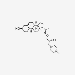 CC(=NOCC(O)CN1CCN(C)CC1)[C@H]1CC[C@H]2[C@@H]3CC=C4CC(O)CC[C@]4(C)[C@H]3CC[C@]12C